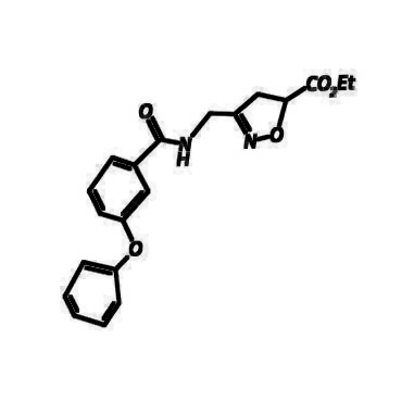 CCOC(=O)C1CC(CNC(=O)c2cccc(Oc3ccccc3)c2)=NO1